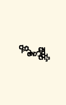 CC1(C)C[C@]2(C=C(C#N)C1=O)CCN(C(=O)Cc1ccc(Cl)c(F)c1)C2